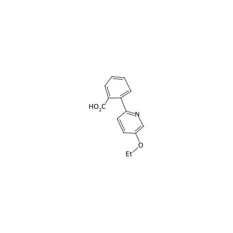 CCOc1ccc(-c2ccccc2C(=O)O)nc1